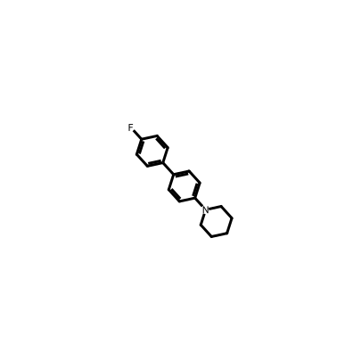 Fc1ccc(-c2ccc(N3CCCCC3)cc2)cc1